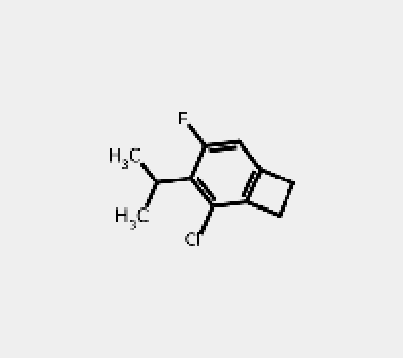 CC(C)c1c(F)cc2c(c1Cl)CC2